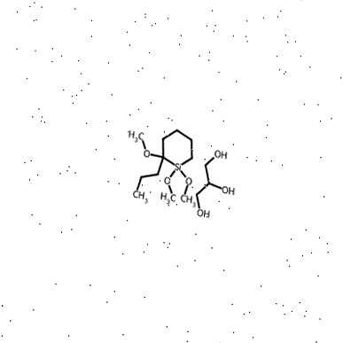 CCCC1(OC)CCCC[Si]1(OC)OC.OCC(O)CO